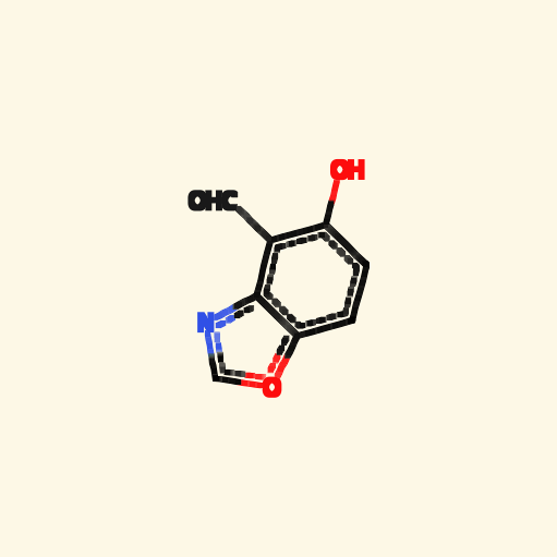 O=Cc1c(O)ccc2ocnc12